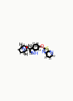 CC(=O)N[C@H]1C[C@H]2CC[C@@H](C1)N2Cc1c[nH]c2cc(Oc3nc4cccnc4s3)ccc12